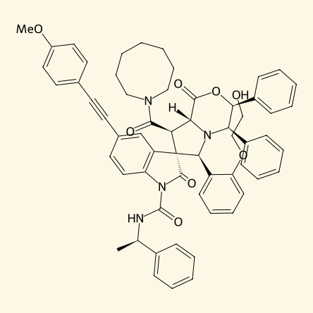 COc1ccc(C#Cc2ccc3c(c2)[C@]2(C(=O)N3C(=O)N[C@H](C)c3ccccc3)[C@H](c3ccccc3OCCO)N3[C@H](c4ccccc4)[C@H](c4ccccc4)OC(=O)[C@H]3[C@@H]2C(=O)N2CCCCCCC2)cc1